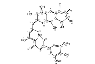 CC[C@H]1O[C@@H](O[C@H]2[C@H](O)[C@@H](O)[C@H](Oc3cc(O)c4c(=O)cc(-c5cc(OC)c(O)c(OC)c5)oc4c3)O[C@@H]2CO)[C@H](C)[C@@H](C)[C@H]1O